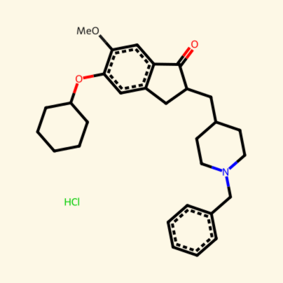 COc1cc2c(cc1OC1CCCCC1)CC(CC1CCN(Cc3ccccc3)CC1)C2=O.Cl